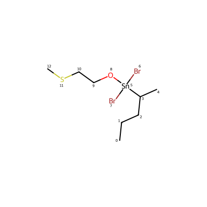 CCC[CH](C)[Sn]([Br])([Br])[O]CCSC